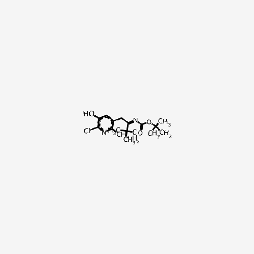 Cc1nc(Cl)c(O)cc1C/C(=N/C(=O)OC(C)(C)C)C(C)(C)C